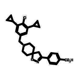 O=C(O)c1ccc(C2=NOC3(CCN(Cc4cc(C5CC5)c(Cl)c(C5CC5)c4)CC3)C2)cc1